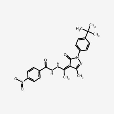 CC1=NN(c2ccc(C(C)(C)C)cc2)C(=O)/C1=C(/C)NNC(=O)c1ccc([N+](=O)[O-])cc1